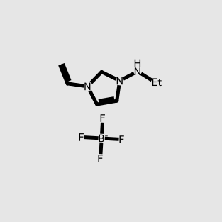 C=CN1C=CN(NCC)C1.F[B-](F)(F)F